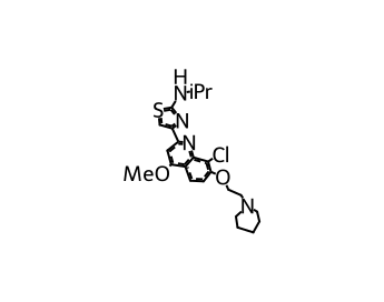 COc1cc(-c2csc(NC(C)C)n2)nc2c(Cl)c(OCCN3CCCCC3)ccc12